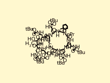 CCCC(=O)OC(C)CC(=O)N[C@@H](CCNC(=O)OC(C)(C)C)C(=O)N[C@H](C(=O)N[C@@H](CCNC(=O)OC(C)(C)C)C(=O)N[C@H]1CCNC(=O)[C@H](C(C)O)NC(=O)[C@H](CCNC(=O)OC(C)(C)C)NC(=O)[C@H](CCNC(=O)OC(C)(C)C)NC(=O)[C@H](CCC)NC(=O)[C@@H](Cc2ccccc2)NC(=O)[C@H](CCNC(=O)OC(C)(C)C)NC1=O)C(C)O